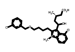 C[C@H](CC(=O)O)CC(O)c1c(CCCCOCc2cccc(Cl)c2)n(C)c2cccc(Cl)c12